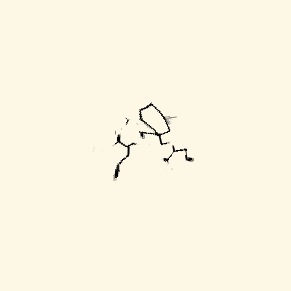 CC(C)[C@H]1CC[C@@H](C)CC1(COC(CC=O)C(=O)O)COC(CC=O)C(=O)O